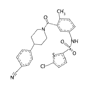 Cc1ccc(NS(=O)(=O)c2ccc(Cl)s2)cc1C(=O)N1CCC(c2ccc(C#N)cc2)CC1